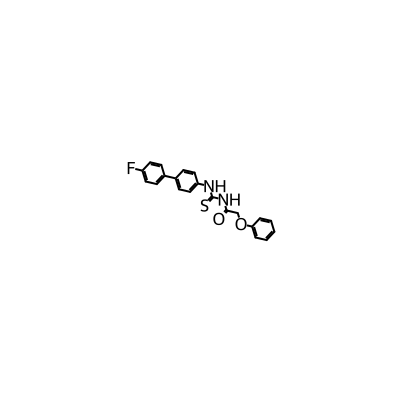 O=C(COc1ccccc1)NC(=S)Nc1ccc(-c2ccc(F)cc2)cc1